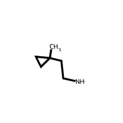 CC1(CC[NH])CC1